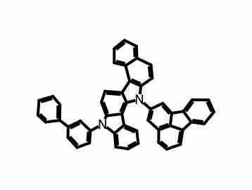 c1ccc(-c2cccc(-n3c4ccccc4c4c3ccc3c5c6ccccc6ccc5n(-c5cc6c7c(cccc7c5)-c5ccccc5-6)c34)c2)cc1